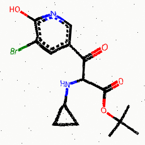 CC(C)(C)OC(=O)C(NC1CC1)C(=O)c1cnc(O)c(Br)c1